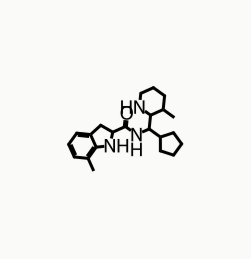 Cc1cccc2c1NC(C(=O)NC(C1CCCC1)C1NCCCC1C)C2